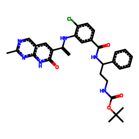 C=C(Nc1cc(C(=O)NC(CCNC(=O)OC(C)(C)C)c2ccccc2)ccc1Cl)c1cc2cnc(C)nc2[nH]c1=O